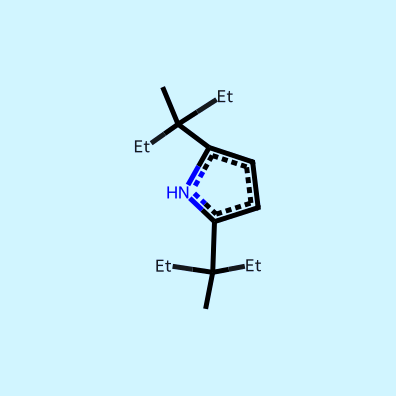 CCC(C)(CC)c1ccc(C(C)(CC)CC)[nH]1